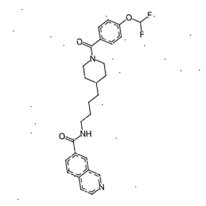 O=C(NCCCCC1CCN(C(=O)c2ccc(OC(F)F)cc2)CC1)c1ccc2ccncc2c1